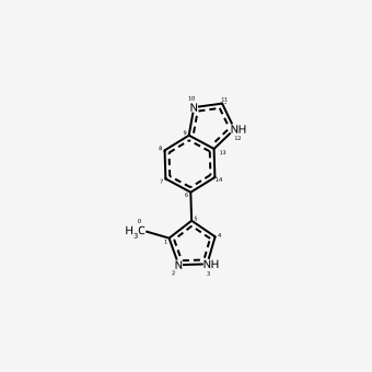 Cc1n[nH]cc1-c1ccc2n[c][nH]c2c1